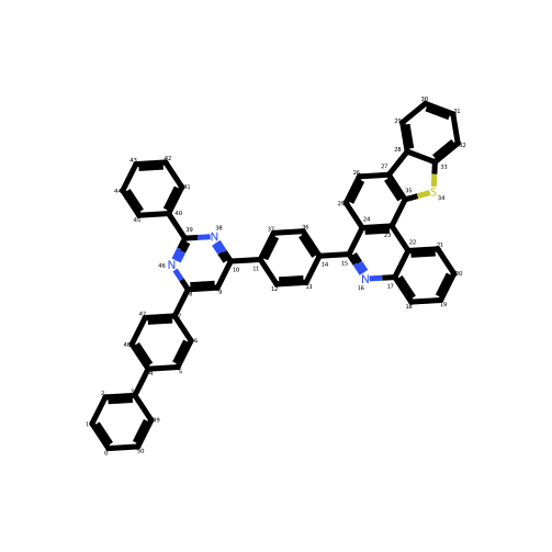 c1ccc(-c2ccc(-c3cc(-c4ccc(-c5nc6ccccc6c6c5ccc5c7ccccc7sc56)cc4)nc(-c4ccccc4)n3)cc2)cc1